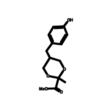 COC(=O)C1(C)OCC(Cc2ccc(O)cc2)CO1